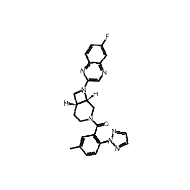 Cc1ccc(-n2nccn2)c(C(=O)N2CC[C@@H]3CN(c4cnc5cc(F)ccc5n4)[C@@H]3C2)c1